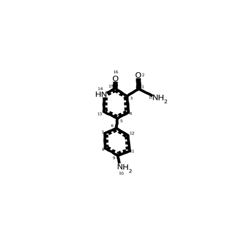 NC(=O)c1cc(-c2ccc(N)cc2)c[nH]c1=O